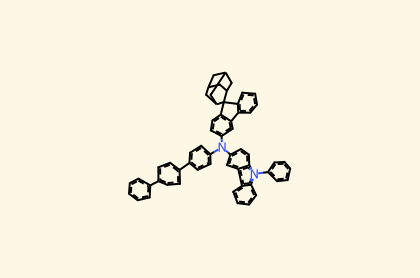 c1ccc(-c2ccc(-c3ccc(N(c4ccc5c(c4)-c4ccccc4C54C5CC6CC(C5)CC4C6)c4ccc5c(c4)c4ccccc4n5-c4ccccc4)cc3)cc2)cc1